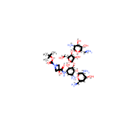 CC(C)(C)OC(=O)N1CC(O)(C(=O)N[C@@H]2C[C@H](N)[C@@H](O[C@H]3O[C@H](CN)C[C@H](O)[C@H]3N)[C@H](O[C@@H]3O[C@H](CO)[C@@H](O[C@H]4O[C@@H](CN)[C@@H](O)[C@H](O)[C@H]4N)[C@H]3O)[C@H]2O)C1